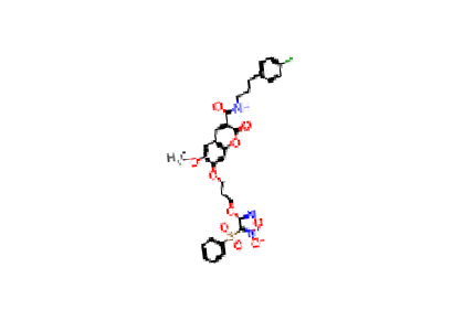 COc1cc2cc(C(=O)NCCCc3ccc(F)cc3)c(=O)oc2cc1OCCCOc1no[n+]([O-])c1S(=O)(=O)c1ccccc1